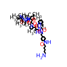 CCC(C)C(C(CC(=O)N1CCCC1C(OC)C(C)C(=O)N[C@@H](Cc1ccccc1)C(=O)NCCc1ccc(NC(=O)CCCCCN)cc1)OC)N(C)C(=O)[C@@H](NC(=O)C(C(C)C)N(C)C)C(C)C